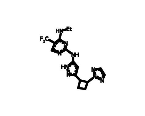 CCNc1nc(Nc2cc(C3CCC3n3nccn3)n[nH]2)ncc1C(F)(F)F